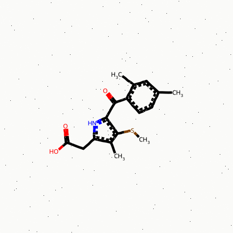 CSc1c(C(=O)c2ccc(C)cc2C)[nH]c(CC(=O)O)c1C